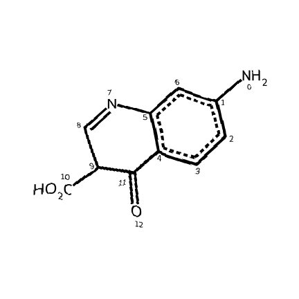 Nc1ccc2c(c1)N=CC(C(=O)O)C2=O